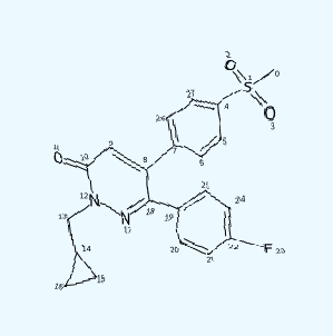 CS(=O)(=O)c1ccc(-c2cc(=O)n(CC3CC3)nc2-c2ccc(F)cc2)cc1